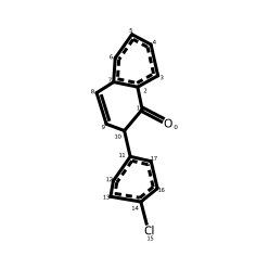 O=C1c2ccccc2C=CC1c1ccc(Cl)cc1